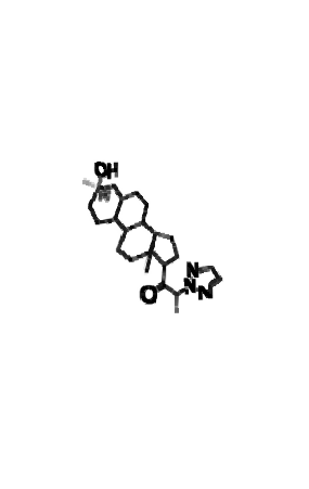 CC(C(=O)C1CCC2C3CCC4C[C@](C)(O)CCC4C3CCC12C)n1nccn1